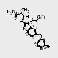 CCOCCn1c(CN[C@@H](C)C(N)=O)nc2ccc(Oc3cccc(F)c3)cc21